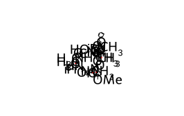 CC[C@H](C)[C@H]1NC(=O)[C@@H](N2C(=O)[C@H](N(C)C(=O)OCc3ccccc3)CC2C)[C@@H](C)OC(=O)[C@H](Cc2ccc(OC)cc2)N(C)C(=O)[C@@H]2CCCN2C(=O)[C@H](CC(C)C)NC(=O)C(C)(C)NC(=O)C[C@@H]1O